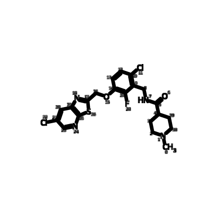 CN1CCC(C(=O)NCc2c(Cl)ccc(OCc3nc4cc(Cl)cnc4s3)c2F)CC1